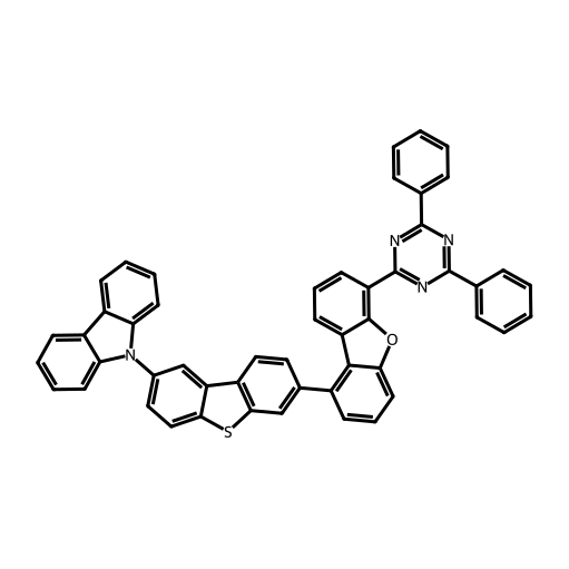 c1ccc(-c2nc(-c3ccccc3)nc(-c3cccc4c3oc3cccc(-c5ccc6c(c5)sc5ccc(-n7c8ccccc8c8ccccc87)cc56)c34)n2)cc1